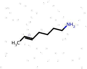 C/C=C/CCCCN